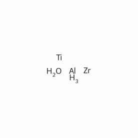 O.[AlH3].[Ti].[Zr]